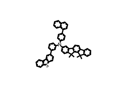 CC1(C)c2ccccc2-c2ccc3c(c21)C(C)(C)c1ccc(N(c2ccc(-c4cccc5ccccc45)cc2)c2cccc(-c4ccc5sc6ccccc6c5c4)c2)cc1-3